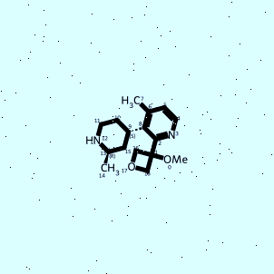 COC1(c2nccc(C)c2[C@H]2CCN[C@H](C)C2)COC1